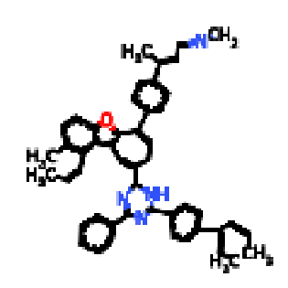 C=[N+]=C/C=C(\C)c1ccc(C2=CCC(C3N=C(c4ccccc4)N=C(c4ccc(C(/C=C\C)=C/C)cc4)N3)=Cc3c2oc2ccc(C)c(/C=C\C)c32)cc1